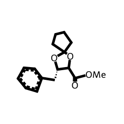 COC(=O)C1OC2(CCCC2)O[C@H]1Cc1ccccc1